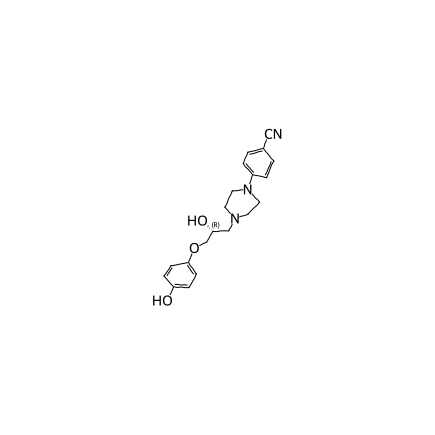 N#Cc1ccc(N2CCN(C[C@@H](O)COc3ccc(O)cc3)CC2)cc1